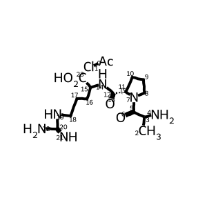 CC(=O)Cl.CC(N)C(=O)N1CCC[C@H]1C(=O)NC(CCCNC(=N)N)C(=O)O